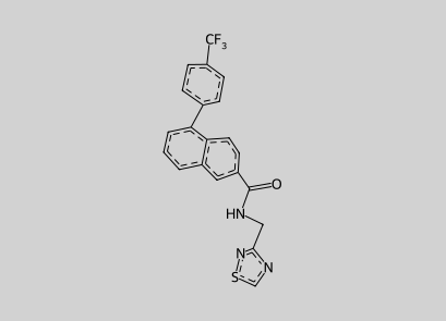 O=C(NCc1ncsn1)c1ccc2c(-c3ccc(C(F)(F)F)cc3)cccc2c1